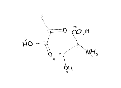 CC(=O)C(=O)O.NC(CO)C(=O)O